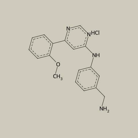 COc1ccccc1-c1cc(Nc2cccc(CN)c2)ncn1.Cl